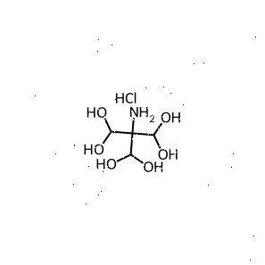 Cl.NC(C(O)O)(C(O)O)C(O)O